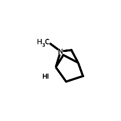 CN1CC2CCC1C2.I